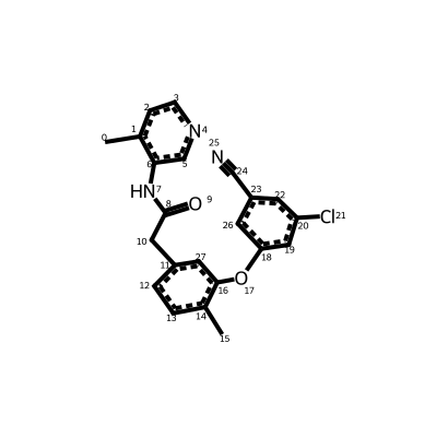 Cc1ccncc1NC(=O)Cc1ccc(C)c(Oc2cc(Cl)cc(C#N)c2)c1